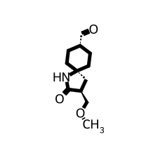 COC[C@@H]1C[C@]2(CC[C@@H](C=O)CC2)NC1=O